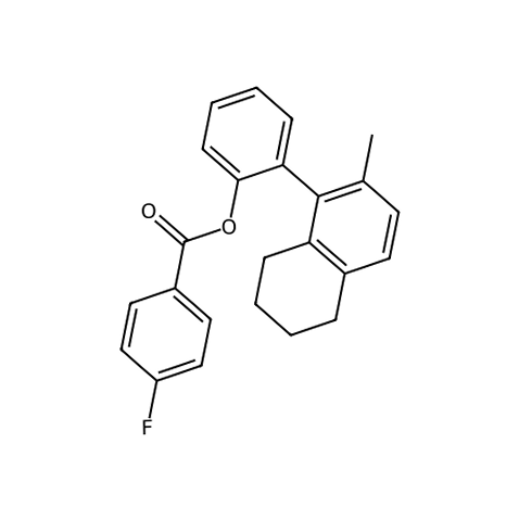 Cc1ccc2c(c1-c1ccccc1OC(=O)c1ccc(F)cc1)CCCC2